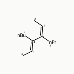 CC=C(CCC)C(=CC)CCCC